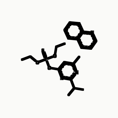 CCOP(=S)(OCC)Oc1cc(C)nc(C(C)C)n1.c1ccc2ncccc2c1